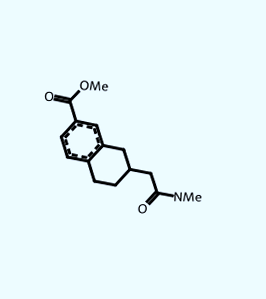 CNC(=O)CC1CCc2ccc(C(=O)OC)cc2C1